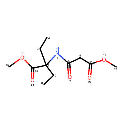 CCC(CC)(NC(=O)CC(=O)OC)C(=O)OC